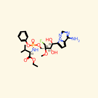 CCOC(=O)[C@@H](NP(=O)(OC[C@@](CF)(OC)[C@@H](O)[C@@H](O)c1ccc2c(N)ncnn12)Oc1ccccc1)C(C)C